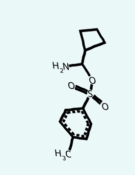 Cc1ccc(S(=O)(=O)OC(N)C2CCC2)cc1